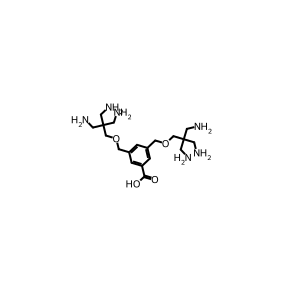 NCC(CN)(CN)COCc1cc(COCC(CN)(CN)CN)cc(C(=O)O)c1